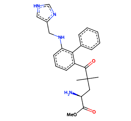 COC(=O)[C@@H](N)CC(C)(C)C(=O)c1cccc(NCc2c[nH]cn2)c1-c1ccccc1